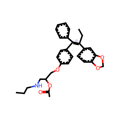 CCCNCC(COc1ccc(/C(=C(/CC)c2ccc3c(c2)OCO3)c2ccccc2)cc1)OC(C)=O